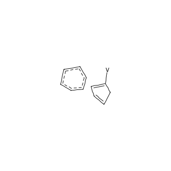 [V][C]1=CC=CC1.c1ccccc1